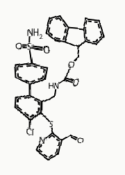 NS(=O)(=O)c1ccc(-c2ccc(Cl)c(Sc3ncccc3C=O)c2CNC(=O)OCC2c3ccccc3-c3ccccc32)cc1